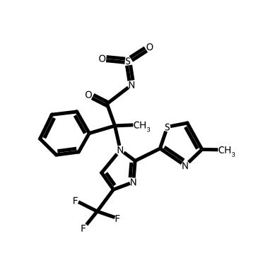 Cc1csc(-c2nc(C(F)(F)F)cn2C(C)(C(=O)N=S(=O)=O)c2ccccc2)n1